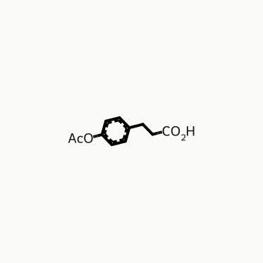 CC(=O)Oc1ccc(CCC(=O)O)cc1